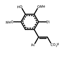 CCc1c(C(=CC(=O)O)C(C)=O)cc(OC)c(O)c1OC